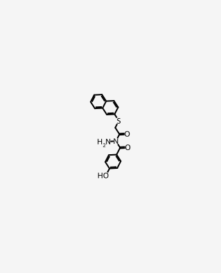 NN(C(=O)CSc1ccc2ccccc2c1)C(=O)c1ccc(O)cc1